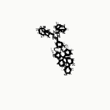 Cc1cc(-c2nc(C34CC5CC(CC(C5)C3)C4)nc(C34CC5CCCC(C3)C(C5)C4)n2)cc(C)c1N1c2ccccc2C(c2ccccc2)(c2cccc3c2oc2ccccc23)c2ccccc21